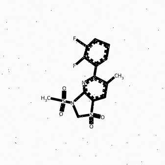 Cc1cc2c(nc1-c1cccc(F)c1F)N(S(C)(=O)=O)CS2(=O)=O